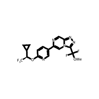 COC(F)(F)c1nnc2cnc(-c3ccc(O[C@H](C4CC4)C(F)(F)F)nc3)cn12